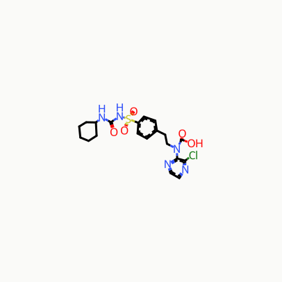 O=C(NC1CCCCC1)NS(=O)(=O)c1ccc(CCN(C(=O)O)c2nccnc2Cl)cc1